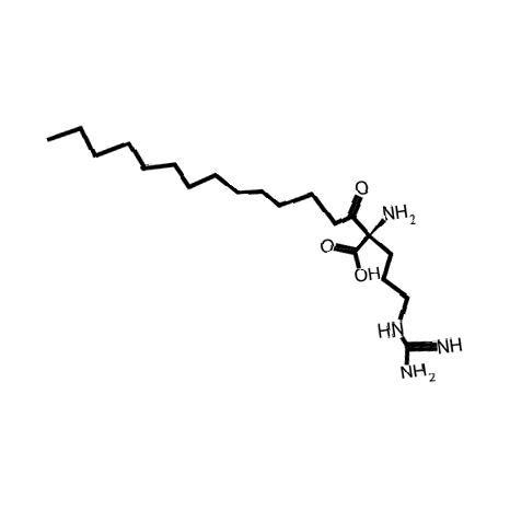 CCCCCCCCCCCCCC(=O)[C@](N)(CCCNC(=N)N)C(=O)O